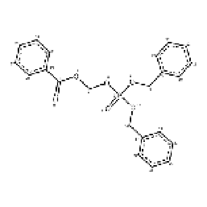 O=C(OCOP(=O)(OCc1ccccc1)OCc1ccccc1)c1ccccc1